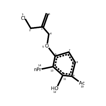 C=C(CCl)COc1ccc(C(C)=O)c(O)c1CCC